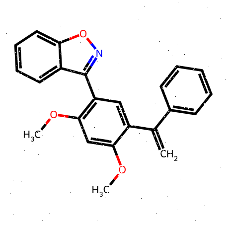 C=C(c1ccccc1)c1cc(-c2noc3ccccc23)c(OC)cc1OC